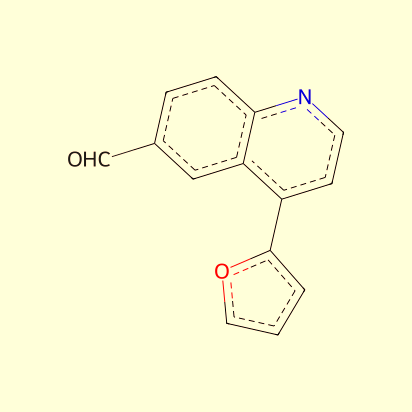 O=Cc1ccc2nccc(-c3ccco3)c2c1